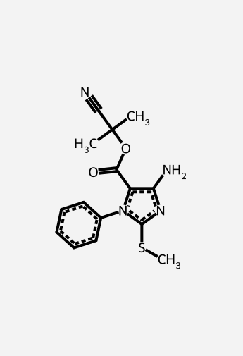 CSc1nc(N)c(C(=O)OC(C)(C)C#N)n1-c1ccccc1